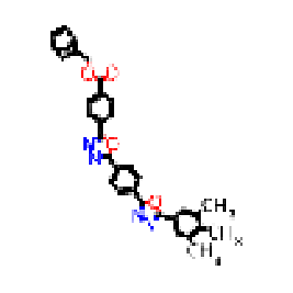 Cc1cc(-c2nnc(-c3ccc(-c4nnc(-c5ccc(C(=O)OCC6CC7C=CC6C7)cc5)o4)cc3)o2)cc(C)c1C